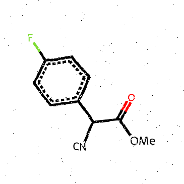 [C-]#[N+]C(C(=O)OC)c1ccc(F)cc1